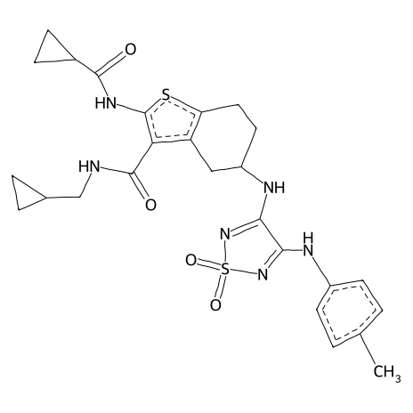 Cc1ccc(NC2=NS(=O)(=O)N=C2NC2CCc3sc(NC(=O)C4CC4)c(C(=O)NCC4CC4)c3C2)cc1